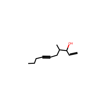 C=CC(O)C(C)CC#CCCC